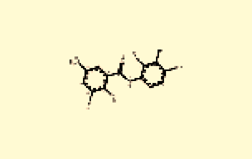 Cc1c(F)ccc(NC(=O)c2cc(N)cc(F)c2Cl)c1F